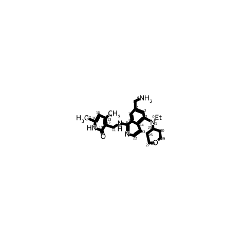 CCN(c1cc(CN)cc2c(NCc3c(C)cc(C)[nH]c3=O)nccc12)C1CCOCC1